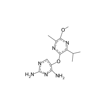 COc1nc(C(C)C)c(Oc2cnc(N)nc2N)nc1C